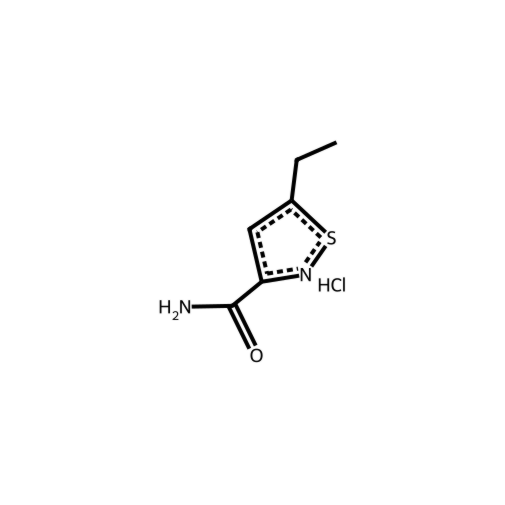 CCc1cc(C(N)=O)ns1.Cl